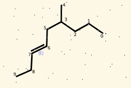 [CH2]CCC(C)C/C=C/CC